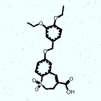 CCOc1ccc(COc2ccc3c(c2)C=C(C(=O)O)CCS3(=O)=O)cc1OCC